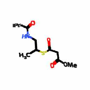 COC(=O)CC(=O)SC(C)CNC(=O)C(C)C